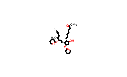 CCC#CC[C@H](C)C(/C=C/[C@@H]1[C@@H](CCCCCCC(=O)OC)[C@@H](O)C[C@H]1OC1CCCCO1)OC1CCCCO1